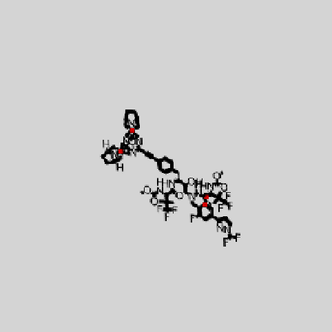 COC(=O)N[C@H](C(=O)N[C@@H](Cc1ccc(C#Cc2nc(N3CC4CCC(C3)N4C3COC3)nc(N3C[C@H]4CC[C@@H](C3)N4C3COC3)n2)cc1)[C@@H](O)CN(Cc1c(F)cc(-c2ccn(C(F)F)n2)cc1F)NC(=O)[C@@H](NC(=O)OC)C(C)(C)C(F)(F)F)C(C)(C)C(F)(F)F